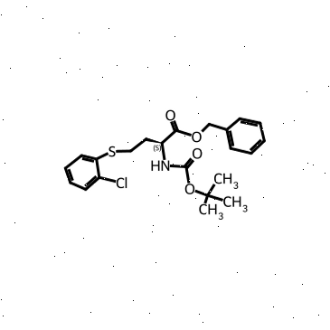 CC(C)(C)OC(=O)N[C@@H](CCSc1ccccc1Cl)C(=O)OCc1ccccc1